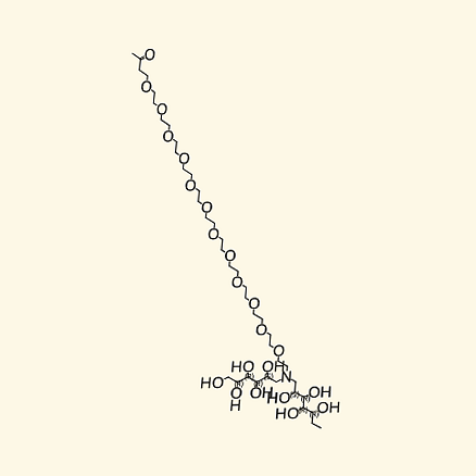 CC[C@@H](O)[C@@H](O)[C@H](O)[C@@H](O)CN(CCOCCOCCOCCOCCOCCOCCOCCOCCOCCOCCOCCOCCC(C)=O)C[C@H](O)[C@@H](O)[C@H](O)[C@H](O)CO